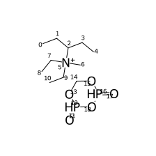 CCC(CC)[N+](C)(CC)CC.O=[PH]1OCO[PH](=O)O1